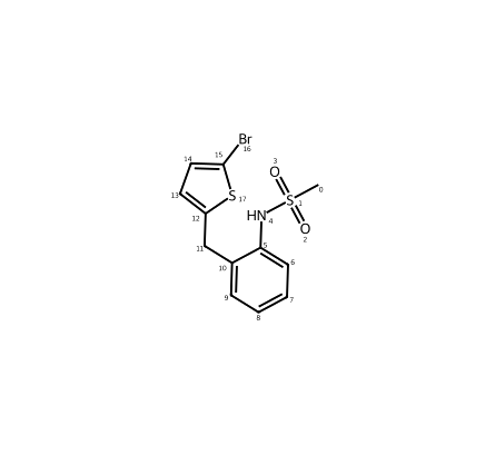 CS(=O)(=O)Nc1ccccc1Cc1ccc(Br)s1